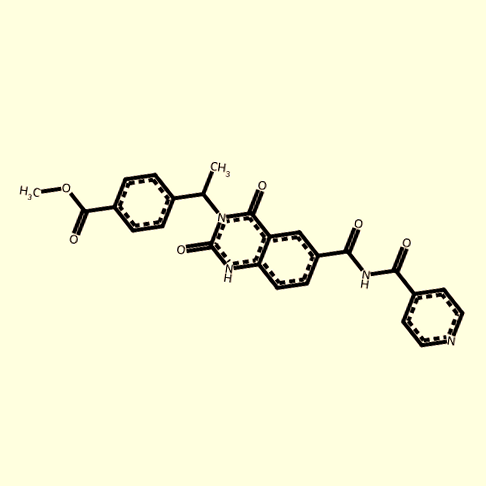 COC(=O)c1ccc(C(C)n2c(=O)[nH]c3ccc(C(=O)NC(=O)c4ccncc4)cc3c2=O)cc1